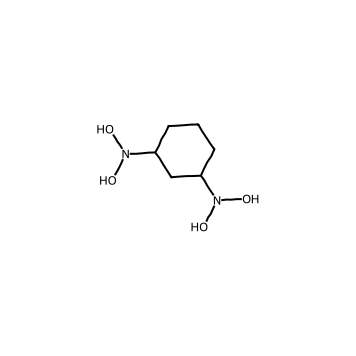 ON(O)C1CCCC(N(O)O)C1